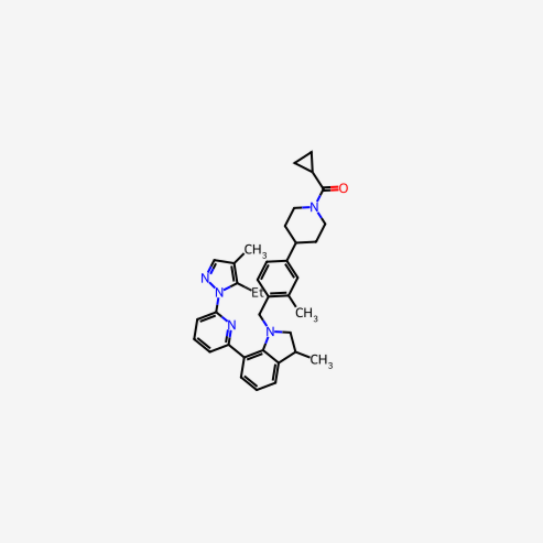 CCc1c(C)cnn1-c1cccc(-c2cccc3c2N(Cc2ccc(C4CCN(C(=O)C5CC5)CC4)cc2C)CC3C)n1